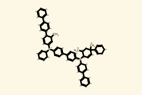 CC1C=C(N(c2ccc(-c3ccc(N(C4C=CC(c5ccccc5)=CC4)C4C=CC(C)(C5=CCCC=C5)CC4C)cc3)cc2)C2C=CC=CC2)C=CC1c1ccc(-c2ccccc2)cc1